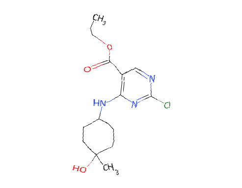 CCOC(=O)c1cnc(Cl)nc1NC1CCC(C)(O)CC1